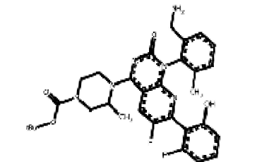 Cc1cccc(CN)c1-n1c(=O)nc(N2CCN(C(=O)OC(C)(C)C)CC2C)c2cc(F)c(-c3c(O)cccc3F)nc21